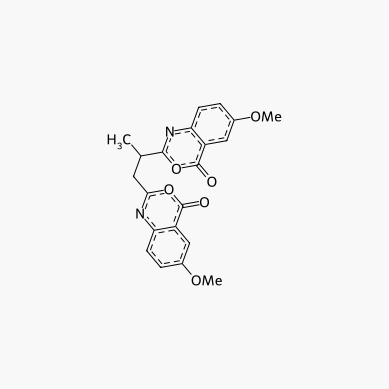 COc1ccc2nc(CC(C)c3nc4ccc(OC)cc4c(=O)o3)oc(=O)c2c1